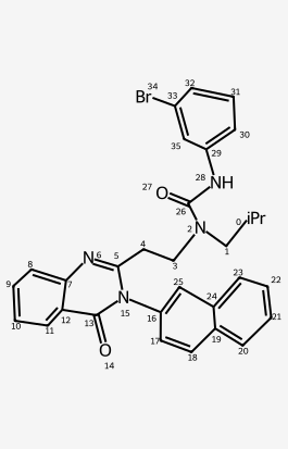 CC(C)CN(CCc1nc2ccccc2c(=O)n1-c1ccc2ccccc2c1)C(=O)Nc1cccc(Br)c1